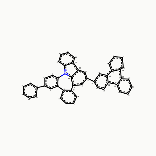 c1ccc(-c2ccc3c(c2)-c2ccccc2-c2cc(-c4ccc5c6ccccc6c6ccccc6c5c4)cc4c5ccccc5n-3c24)cc1